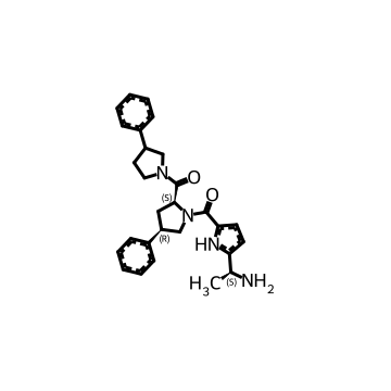 C[C@H](N)c1ccc(C(=O)N2C[C@@H](c3ccccc3)C[C@H]2C(=O)N2CCC(c3ccccc3)C2)[nH]1